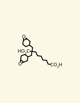 O=C(O)CCCCCCC(CC1CCC2OC2C1)(CC1CCC2OC2C1)C(=O)O